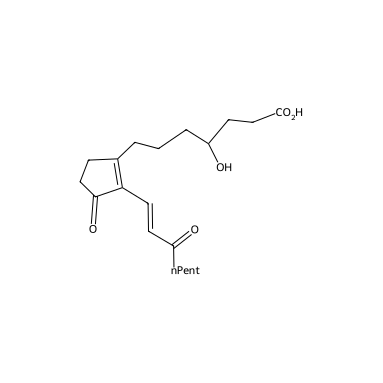 CCCCCC(=O)/C=C/C1=C(CCCC(O)CCC(=O)O)CCC1=O